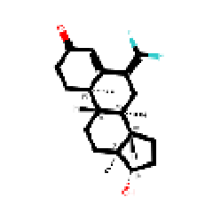 C[C@]12CC[C@H]3[C@@H](CC(=C(F)F)C4=CC(=O)CC[C@@]43C)[C@@H]1CC[C@@H]2O